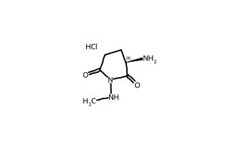 CNN1C(=O)CC[C@@H](N)C1=O.Cl